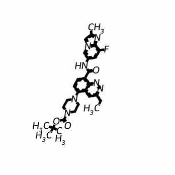 CCc1cc2c(N3CCN(C(=O)OC(C)(C)C)CC3)ccc(C(=O)Nc3cc(F)c4nc(C)cn4c3)c2nn1